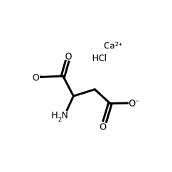 Cl.NC(CC(=O)[O-])C(=O)[O-].[Ca+2]